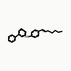 CCCCC/C=C/c1ccc(Nc2cccc(-c3ccccc3)c2)cc1